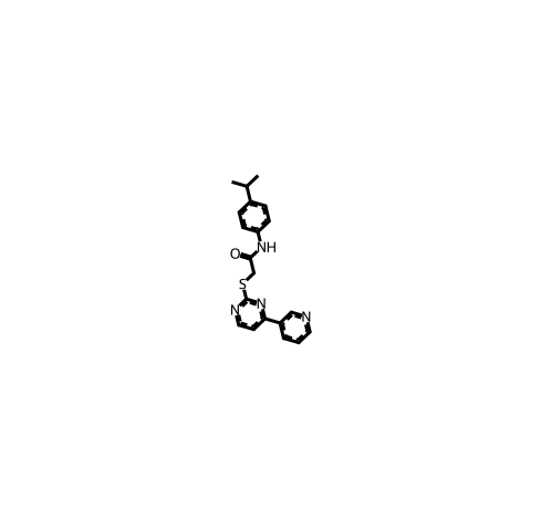 CC(C)c1ccc(NC(=O)CSc2nccc(-c3cccnc3)n2)cc1